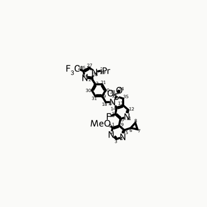 COc1ncnc(C2CC2)c1-c1ncc2c(c1F)N(Cc1ccc(-c3nc(C(F)(F)F)cn3C(C)C)cc1)S(=O)(=O)C2